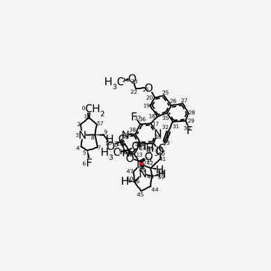 C=C1CN2C[C@H](F)C[C@@]2(COc2nc3c4c(nc(-c5cc(OCOC)cc6ccc(F)c(C#CC)c56)c(F)c4n2)OC[C@@H]2[C@@H]4CC[C@H](CN32)N4C(=O)OC(C)(C)C)C1